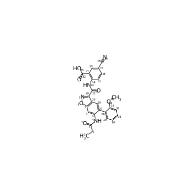 CCC(=O)Nc1cc2onc(C(=O)Nc3ccc(C#N)cc3C(=O)O)c2cc1-c1ccccc1OC